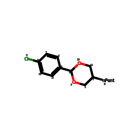 CCCCCC1COC(c2ccc(Cl)cc2)OC1